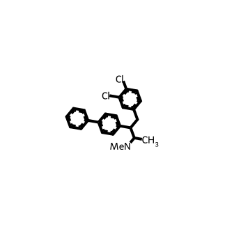 CNC(C)C(Cc1ccc(Cl)c(Cl)c1)c1ccc(-c2ccccc2)cc1